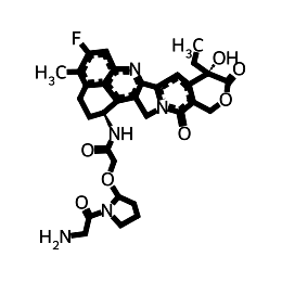 CC[C@@]1(O)C(=O)OCc2c1cc1n(c2=O)Cc2c-1nc1cc(F)c(C)c3c1c2[C@@H](NC(=O)COC1CCCN1C(=O)CN)CC3